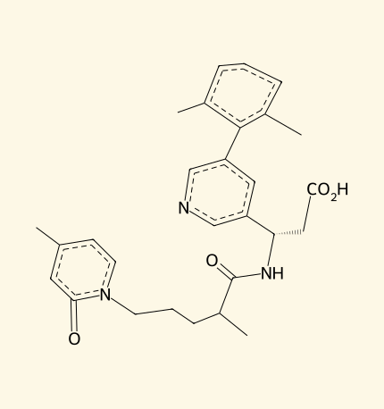 Cc1ccn(CCCC(C)C(=O)N[C@@H](CC(=O)O)c2cncc(-c3c(C)cccc3C)c2)c(=O)c1